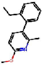 CCc1ccccc1-c1ccc(OC)nc1C